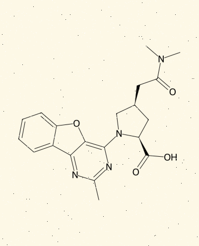 Cc1nc(N2C[C@@H](CC(=O)N(C)C)C[C@H]2C(=O)O)c2oc3ccccc3c2n1